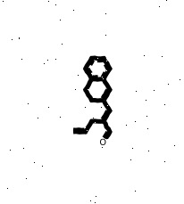 C=CC/C(C=O)=C\C1=Cc2ccccc2CC1